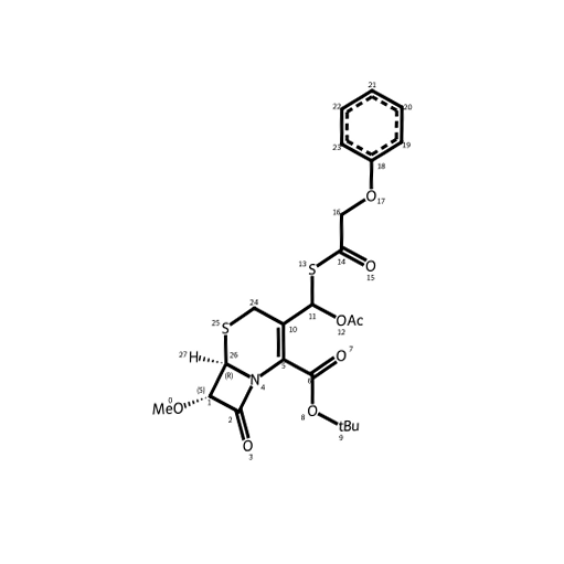 CO[C@H]1C(=O)N2C(C(=O)OC(C)(C)C)=C(C(OC(C)=O)SC(=O)COc3ccccc3)CS[C@H]12